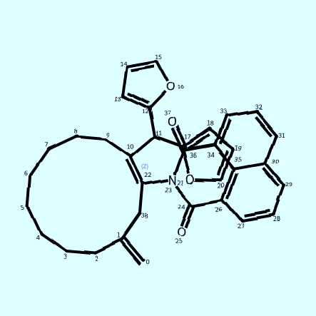 C=C1CCCCCCCC/C(C(c2ccco2)c2ccco2)=C(/N2C(=O)c3cccc4cccc(c34)C2=O)C1